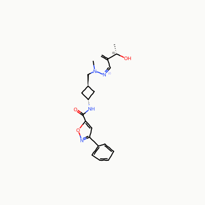 C=C(/C=N\N(C)C[C@H]1C[C@H](NC(=O)c2cc(-c3ccccc3)no2)C1)[C@H](C)O